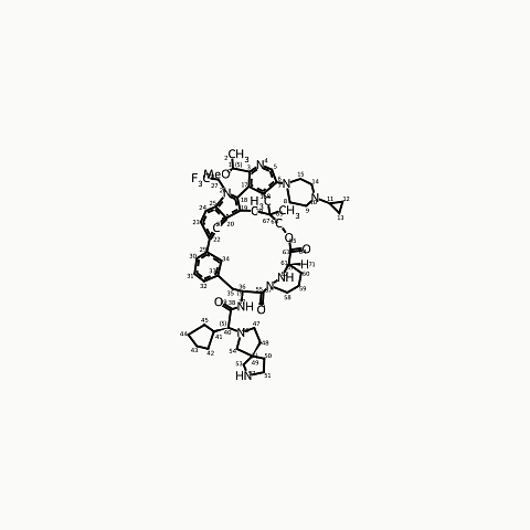 CO[C@@H](C)c1ncc(N2CCN(C3CC3)CC2)cc1-c1c2c3cc(ccc3n1CC(F)(F)F)-c1cccc(c1)C[C@H](NC(=O)[C@H](C1CCCC1)N1CC[C@]3(CCNC3)C1)C(=O)N1CCC[C@H](N1)C(=O)OCC(C)(C)C2